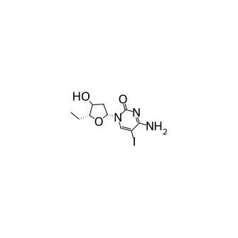 CC[C@H]1O[C@@H](n2cc(I)c(N)nc2=O)CC1O